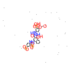 COCCOc1ccc(NNC(=O)c2cc(N=Nc3ccc(S(C)(=O)=O)cc3S(C)(=O)=O)c3ccccc3c2O)cc1S(=O)(=O)O